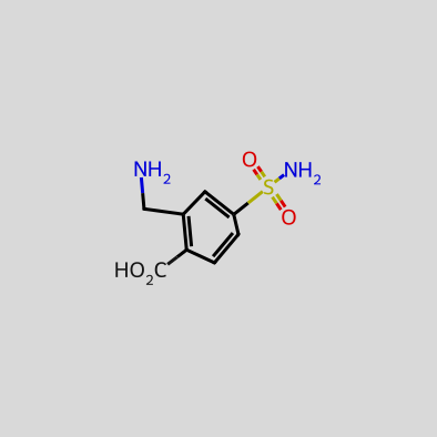 NCc1cc(S(N)(=O)=O)ccc1C(=O)O